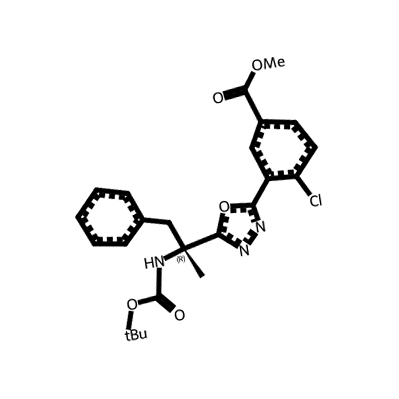 COC(=O)c1ccc(Cl)c(-c2nnc([C@@](C)(Cc3ccccc3)NC(=O)OC(C)(C)C)o2)c1